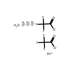 O.O.O.O.O=C([O-])C(F)(F)F.O=C([O-])C(F)(F)F.[Zn+2]